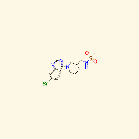 CS(=O)(=O)NCC1CCCN(c2ncnc3cc(Br)ccc23)C1